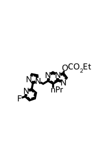 CCCc1c(Cn2ccnc2-c2cccc(F)n2)ncn2c(OC(=O)OCC)cnc12